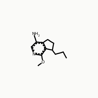 CCCC1CCc2c(N)cnc(OC)c21